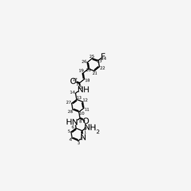 Nc1ncccc1NC(=O)c1ccc(CNC(=O)/C=C/c2ccc(F)cc2)cc1